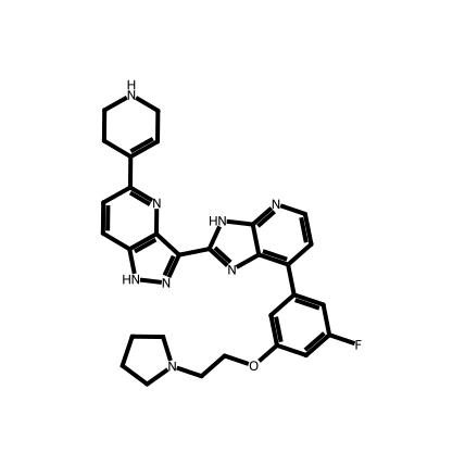 Fc1cc(OCCN2CCCC2)cc(-c2ccnc3[nH]c(-c4n[nH]c5ccc(C6=CCNCC6)nc45)nc23)c1